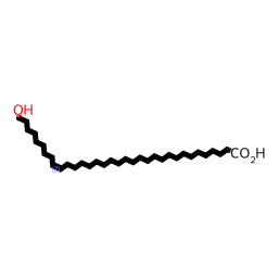 O=C(O)CCCCCCCCCCCCCCCCCCCCCCC/C=C\CCCCCCCCO